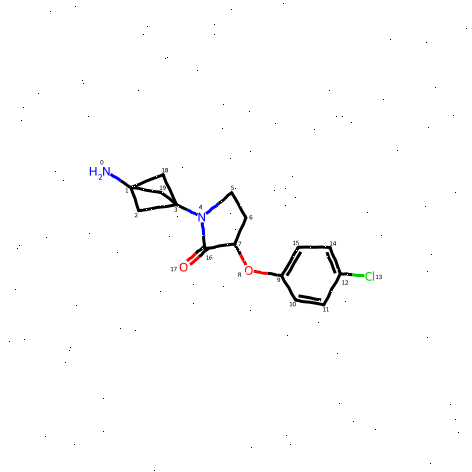 NC12CC(N3CCC(Oc4ccc(Cl)cc4)C3=O)(C1)C2